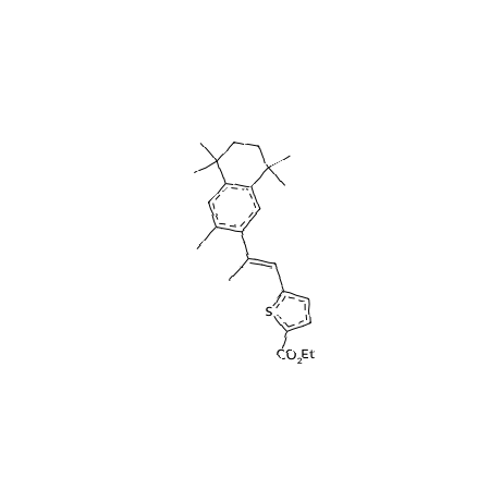 CCOC(=O)c1ccc(C=C(C)c2cc3c(cc2C)C(C)(C)CCC3(C)C)s1